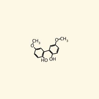 COc1ccc(O)c(-c2cc(OC)ccc2O)c1